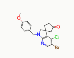 COc1ccc(CN2CC3(CCC(=O)C3)c3c2ncc(Br)c3Cl)cc1